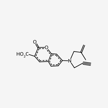 C#CCN(CC(=C)C)c1ccc2cc(C(=O)O)c(=O)oc2c1